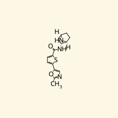 Cc1ncc(-c2ccc(C(=O)N[C@@H]3C[C@H]4CC[C@@H]3N4)s2)o1